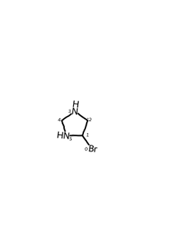 BrC1[CH]NCN1